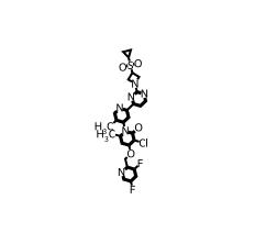 Cc1cnc(-c2ccnc(N3CC(S(=O)(=O)C4CC4)C3)n2)cc1-n1c(C)cc(OCc2ncc(F)cc2F)c(Cl)c1=O